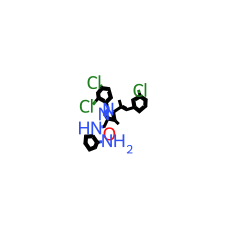 C/C(=C\c1cccc(Cl)c1)c1c(C)c(C(=O)Nc2ccccc2N)nn1-c1ccc(Cl)cc1Cl